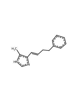 Cc1[nH]cnc1C=CCCc1ccccc1